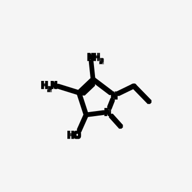 CCN1C(N)=C(N)C(O)N1C